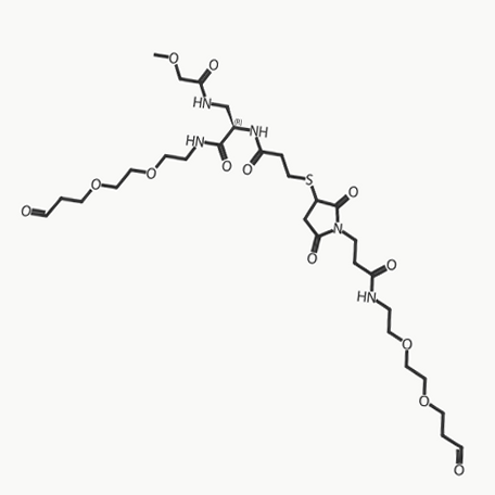 COCC(=O)NC[C@@H](NC(=O)CCSC1CC(=O)N(CCC(=O)NCCOCCOCCC=O)C1=O)C(=O)NCCOCCOCCC=O